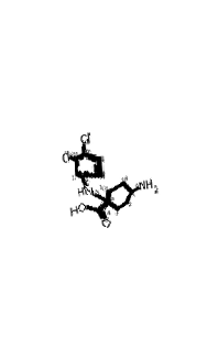 NC1CCC(Nc2ccc(Cl)c(Cl)c2)(C(=O)O)CC1